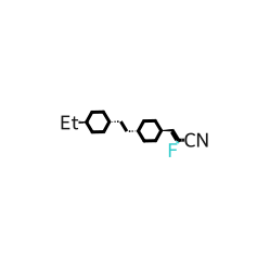 CC[C@H]1CC[C@H](CC[C@H]2CC[C@H](C=C(F)C#N)CC2)CC1